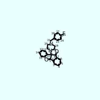 O=C1c2ccccc2C(=O)C1(c1ccccc1)N1CCN(Cc2ccc(F)cc2)CC1